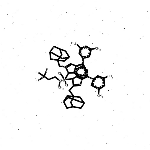 Cc1cc(C)cc(-c2cccc3c2C=C(CC24CC5CC(CC(C5)C2)C4)[CH]3[Zr]([Cl])([Cl])([CH]2C(CC34CC5CC(CC(C5)C3)C4)=Cc3c(-c4cc(C)cc(C)c4)cccc32)[SiH](C)CCC(F)(F)F)c1